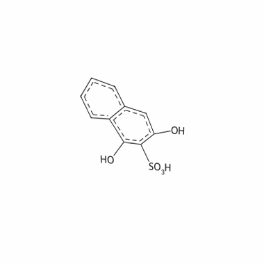 O=S(=O)(O)c1c(O)cc2ccccc2c1O